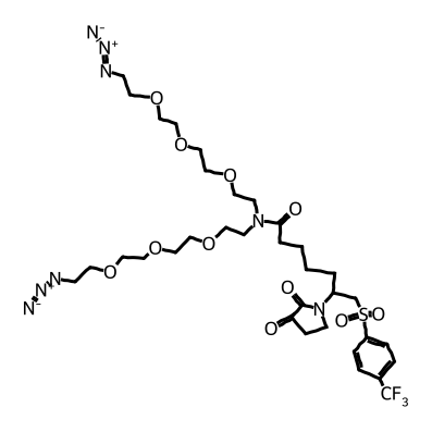 [N-]=[N+]=NCCOCCOCCOCCN(CCOCCOCCOCCN=[N+]=[N-])C(=O)CCCCC(CS(=O)(=O)c1ccc(C(F)(F)F)cc1)N1CCC(=O)C1=O